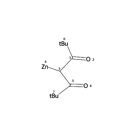 CC(C)(C)C(=O)[CH]([Zn])C(=O)C(C)(C)C